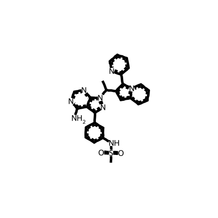 CC(c1cc2ccccn2c1-c1ccccn1)n1nc(-c2cccc(NS(C)(=O)=O)c2)c2c(N)ncnc21